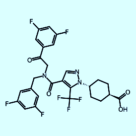 O=C(CN(Cc1cc(F)cc(F)c1)C(=O)c1cnn([C@H]2CC[C@H](C(=O)O)CC2)c1C(F)(F)F)c1cc(F)cc(F)c1